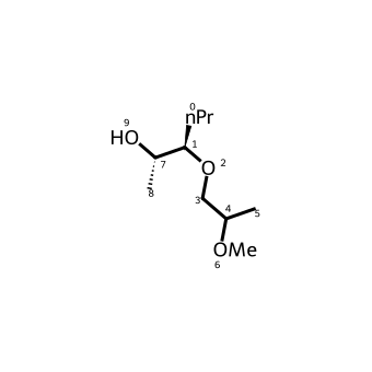 CCC[C@@H](OCC(C)OC)[C@H](C)O